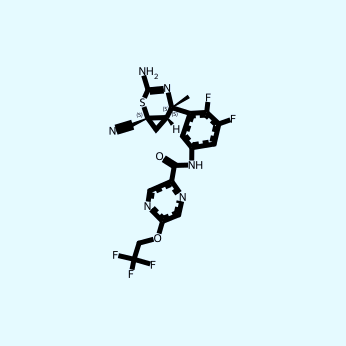 C[C@]1(c2cc(NC(=O)c3cnc(OCC(F)(F)F)cn3)cc(F)c2F)N=C(N)S[C@@]2(C#N)C[C@H]21